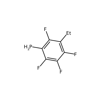 CCc1c(F)c(F)c(F)c(P)c1F